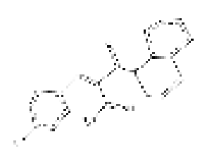 N=C(N)C(=Cc1ccc(Cl)cc1)C(=O)N1CC=Cc2ccccc21